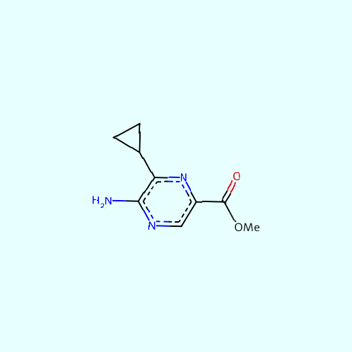 COC(=O)c1cnc(N)c(C2CC2)n1